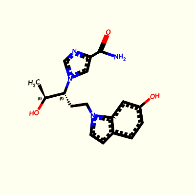 C[C@H](O)[C@@H](CCn1ccc2ccc(O)cc21)n1cnc(C(N)=O)c1